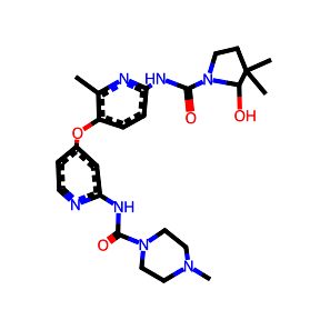 Cc1nc(NC(=O)N2CCC(C)(C)C2O)ccc1Oc1ccnc(NC(=O)N2CCN(C)CC2)c1